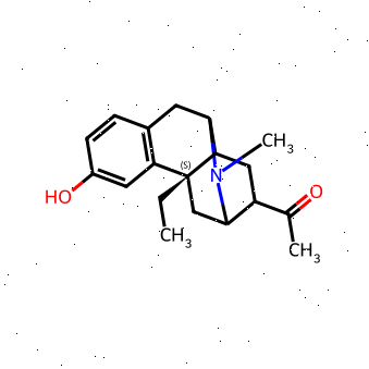 CC[C@]12CC3C(C(C)=O)CC1C(Cc1ccc(O)cc12)N3C